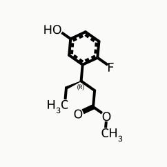 CC[C@H](CC(=O)OC)c1cc(O)ccc1F